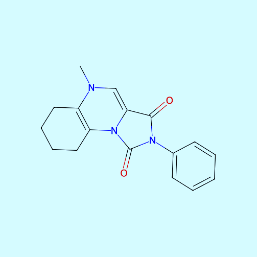 Cn1cc2c(=O)n(-c3ccccc3)c(=O)n-2c2c1CCCC2